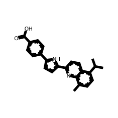 Cc1ccc(C(C)C)c2ccc(-c3ccc(-c4ccc(C(=O)O)cc4)[nH]3)nc12